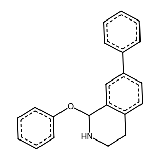 c1ccc(OC2NCCc3ccc(-c4ccccc4)cc32)cc1